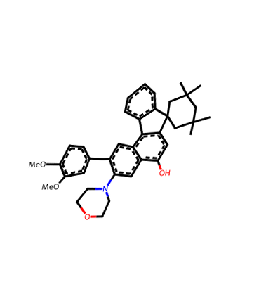 COc1ccc(-c2cc3c4c(cc(O)c3cc2N2CCOCC2)C2(CC(C)(C)CC(C)(C)C2)c2ccccc2-4)cc1OC